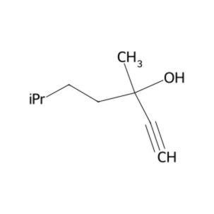 C#CC(C)(O)CCC(C)C